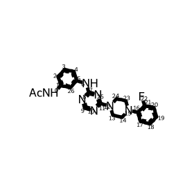 CC(=O)Nc1cccc(Nc2ncnc(N3CCN(c4ccccc4F)CC3)n2)c1